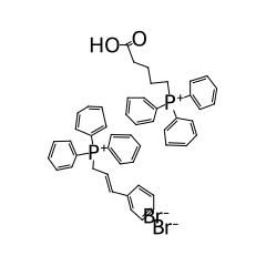 C(=Cc1ccccc1)C[P+](c1ccccc1)(c1ccccc1)c1ccccc1.O=C(O)CCCC[P+](c1ccccc1)(c1ccccc1)c1ccccc1.[Br-].[Br-]